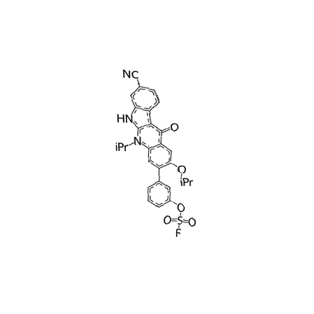 CC(C)Oc1cc2c(=O)c3c4ccc(C#N)cc4[nH]c3n(C(C)C)c2cc1-c1cccc(OS(=O)(=O)F)c1